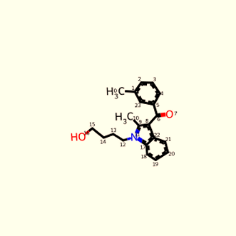 Cc1cccc(C(=O)c2c(C)n(CCCCO)c3ccccc23)c1